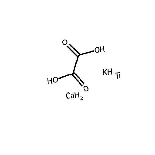 O=C(O)C(=O)O.[CaH2].[KH].[Ti]